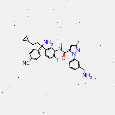 Cc1cc(C(=O)Nc2cc(C(N)(CCC3CC3)c3ccc(C#N)cc3)ccc2F)n(-c2cccc(CN)c2)n1